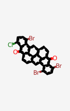 O=c1c2ccc3cc4c5c(Br)ccc(Br)c5c(=O)c5ccc6cc(c7c(Br)ccc(Cl)c17)c2c3c6c54